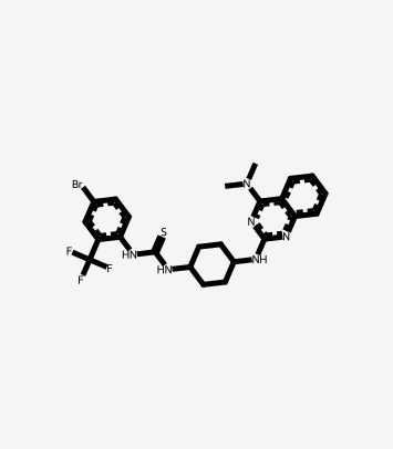 CN(C)c1nc(NC2CCC(NC(=S)Nc3ccc(Br)cc3C(F)(F)F)CC2)nc2ccccc12